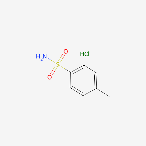 Cc1ccc(S(N)(=O)=O)cc1.Cl